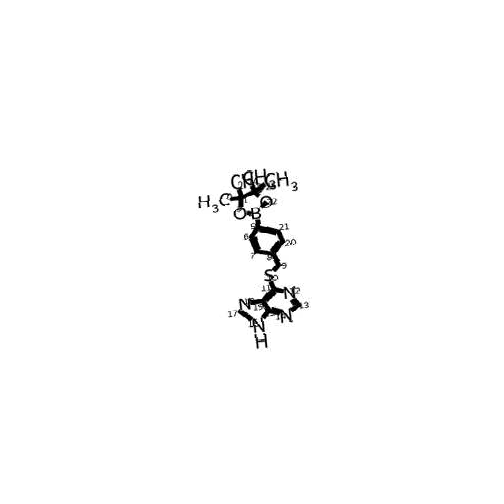 CC1(C)OB(c2ccc(CSc3ncnc4[nH]cnc34)cc2)OC1(C)C